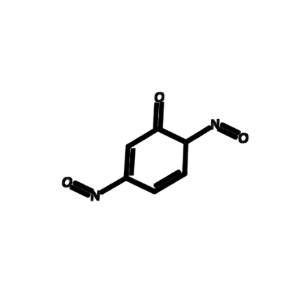 O=NC1=CC(=O)C(N=O)C=C1